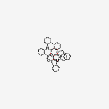 c1ccc(-c2ccccc2N(c2ccc(-c3ccccc3-n3c4ccccc4c4ccccc43)cc2)c2ccccc2-c2ccc3oc4c5ccccc5ccc4c3c2)cc1